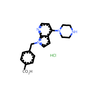 Cl.O=C(O)c1ccc(Cn2ccc3c(N4CCNCC4)ccnc32)cc1